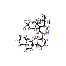 [2H]C([2H])([2H])c1cnc(-c2cccc3c2oc2c4ccccc4ccc32)cc1C1([2H])CCC(C)(C)CC1